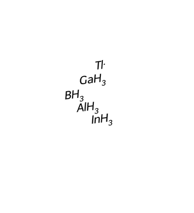 B.[AlH3].[GaH3].[InH3].[Tl]